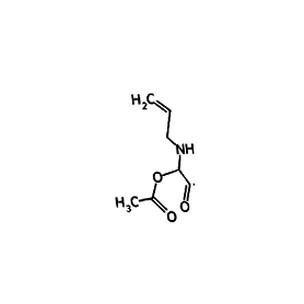 C=CCNC([C]=O)OC(C)=O